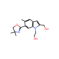 Cc1cc2cc(CO)n(CCO)c2cc1C1=NC(C)(C)CO1